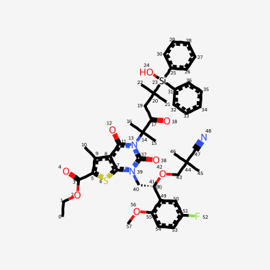 CCOC(=O)c1sc2c(c1C)c(=O)n(C(C)(C)C(=O)CC(C)(C)[Si](O)(c1ccccc1)c1ccccc1)c(=O)n2C[C@H](OCC(C)(C)C#N)c1cc(F)ccc1OC